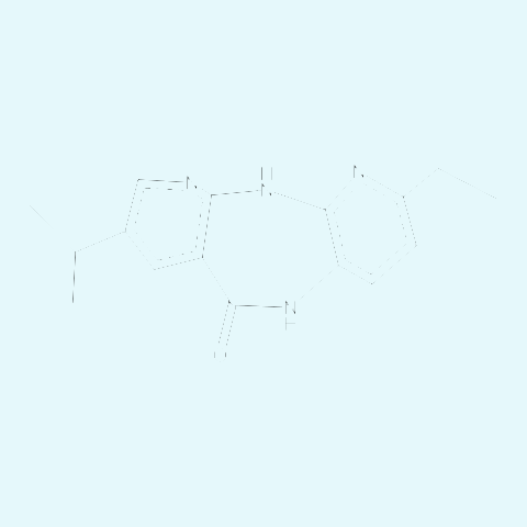 CCc1ccc2c(n1)Nc1ncc(C(C)C)cc1C(=O)N2